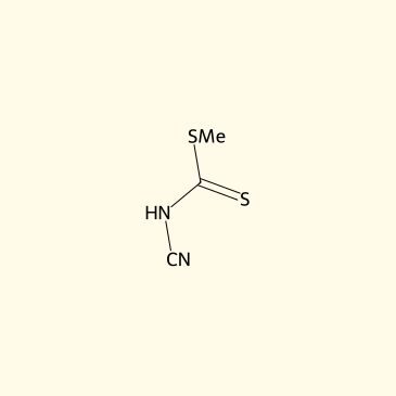 CSC(=S)NC#N